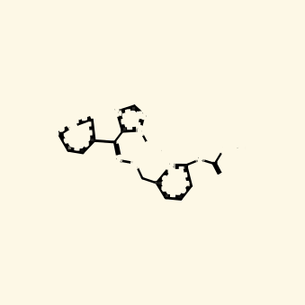 CCCCCC(=O)Nc1cccc(CO/N=C(/c2ccccc2)c2ncnn2C)n1